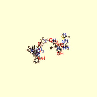 Cc1ncsc1-c1ncc([C@H](C)NC(=O)[C@@H]2C[C@@H](O)CN2C(=O)[C@@H](c2cc(OCCN3CCC(OC4CC(Oc5cc(N6C7CC[C@@H]6CN(c6cc(-c8ccccc8O)nnc6N)C7)ccn5)C4)CC3)no2)C(C)C)cn1